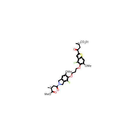 CCOC(=O)[C@@H](C)CC(=O)c1cc2c(F)c(OCCCOc3c(OC)cc4c(c3F)CN(C(=O)C[C@H](C)C(=O)OC)C4)c(OC)cc2s1